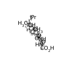 CC(C)CCC[C@@H](C)[C@H]1CCC2C3CC=C4CC(OC(=O)NCC(=O)NCC(=O)O)CC[C@]4(C)C3CC[C@@]21C